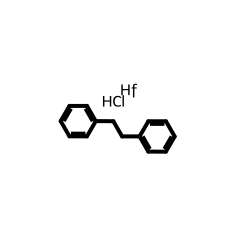 Cl.[Hf].c1ccc(CCc2ccccc2)cc1